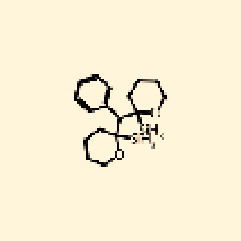 [SiH3]C1(C(c2ccccc2)C2([SiH3])CCCCO2)CCCCO1